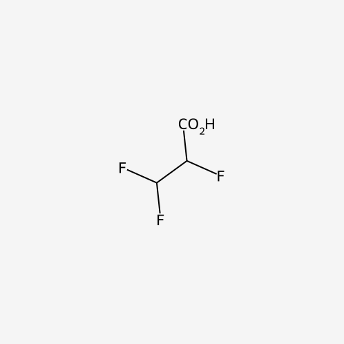 O=C(O)C(F)C(F)F